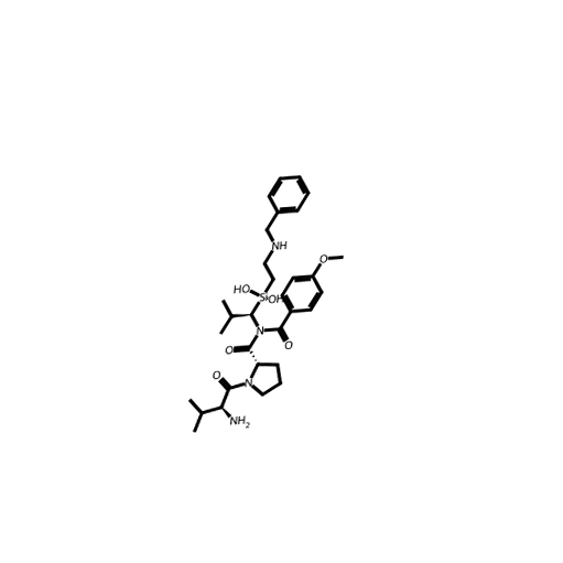 COc1ccc(C(=O)N(C(=O)[C@@H]2CCCN2C(=O)[C@@H](N)C(C)C)[C@@H](C(C)C)[Si](O)(O)CCNCc2ccccc2)cc1